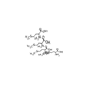 CS.CSCCC(N)C(=O)O.CSCCC(N)C(=O)O.CSCCC(N)C(=O)O.CSCCC(N)C(=O)O